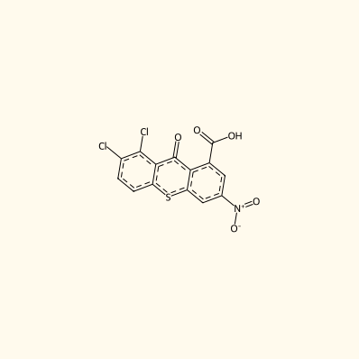 O=C(O)c1cc([N+](=O)[O-])cc2sc3ccc(Cl)c(Cl)c3c(=O)c12